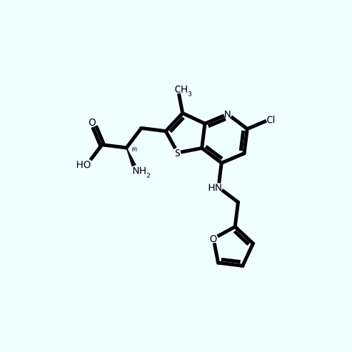 Cc1c(C[C@@H](N)C(=O)O)sc2c(NCc3ccco3)cc(Cl)nc12